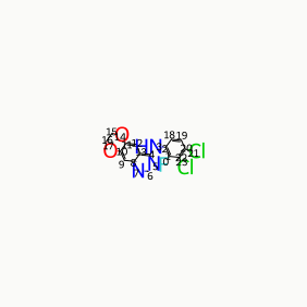 Fc1c(Nc2ncnc3cc4c(cc23)OCCO4)ccc(Cl)c1Cl